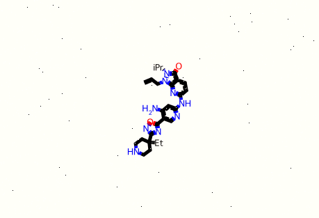 C=CCn1c2nc(Nc3cc(N)c(-c4nc(C5(CC)CCNCC5)no4)cn3)ccc2c(=O)n1C(C)C